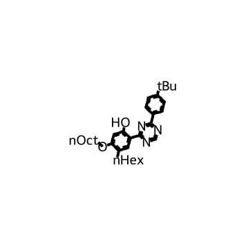 CCCCCCCCOc1cc(O)c(-c2ncnc(-c3ccc(C(C)(C)C)cc3)n2)cc1CCCCCC